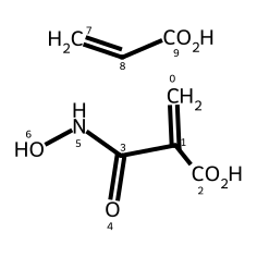 C=C(C(=O)O)C(=O)NO.C=CC(=O)O